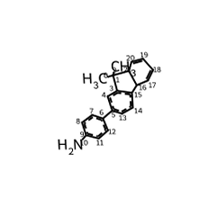 CC1(C)c2cc(-c3ccc(N)cc3)ccc2C2C=CC=CC21